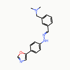 CN(C)Cc1cccc(C=NNc2ccc(-c3cnco3)cc2)c1